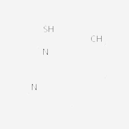 Cc1cccc2ncn(S)c12